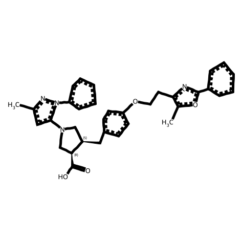 Cc1cc(N2C[C@@H](Cc3ccc(OCCc4nc(-c5ccccc5)oc4C)cc3)[C@@H](C(=O)O)C2)n(-c2ccccc2)n1